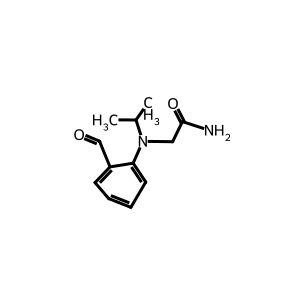 CC(C)N(CC(N)=O)c1ccccc1C=O